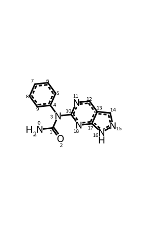 NC(=O)N(c1ccccc1)c1ncc2cn[nH]c2n1